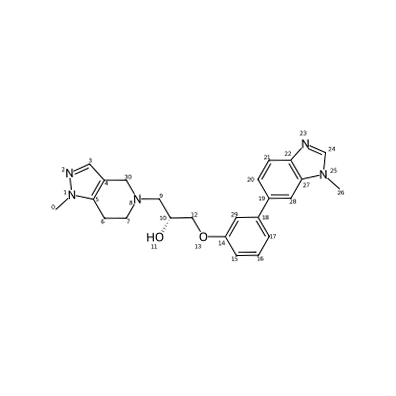 Cn1ncc2c1CCN(C[C@@H](O)COc1cccc(-c3ccc4ncn(C)c4c3)c1)C2